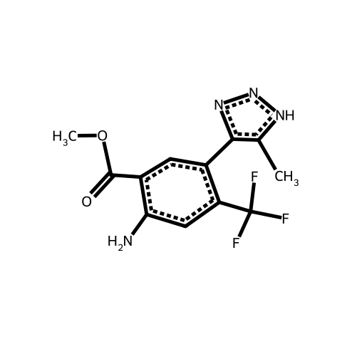 COC(=O)c1cc(-c2nn[nH]c2C)c(C(F)(F)F)cc1N